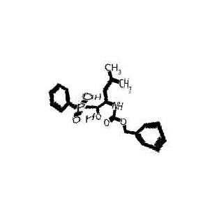 CC(C)CC(NC(=O)OCc1ccccc1)C(O)P(=O)(O)c1ccccc1